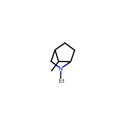 CCN1CC2CCC1C2C